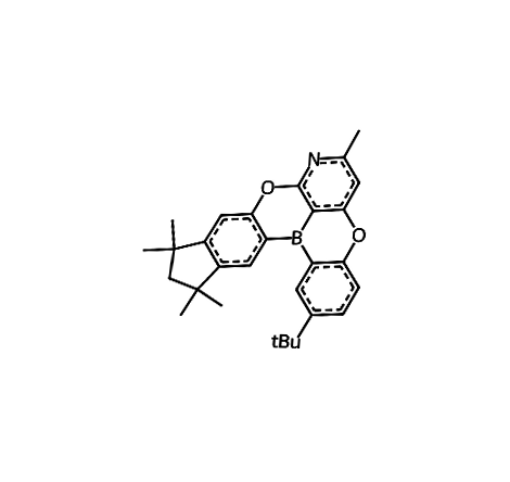 Cc1cc2c3c(n1)Oc1cc4c(cc1B3c1cc(C(C)(C)C)ccc1O2)C(C)(C)CC4(C)C